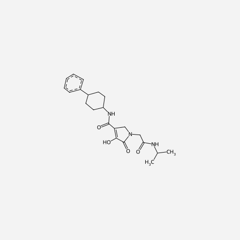 CC(C)NC(=O)CN1CC(C(=O)NC2CCC(c3ccccc3)CC2)=C(O)C1=O